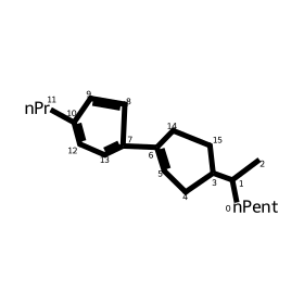 CCCCCC(C)C1CC=C(c2ccc(CCC)cc2)CC1